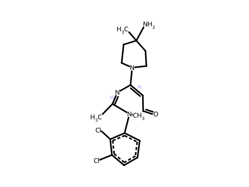 C/C(=N/C(=C\C=O)N1CCC(C)(N)CC1)N(C)c1cccc(Cl)c1Cl